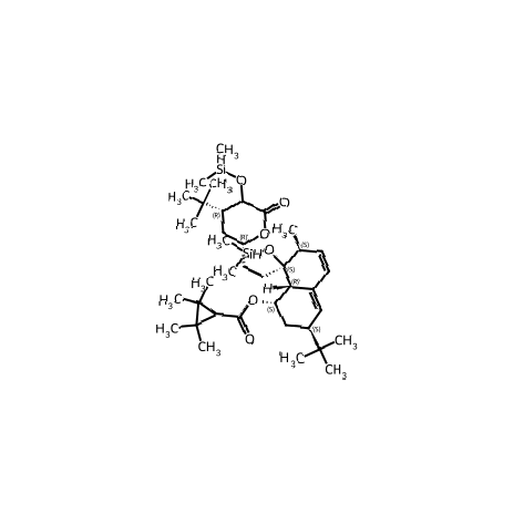 C[C@H]1C=CC2=C[C@@H](C(C)(C)C)C[C@H](OC(=O)C3C(C)(C)C3(C)C)[C@@H]2[C@@]1(CC[C@@H]1C[C@H](C(C)(C)C)C(O[SiH](C)C)C(=O)O1)O[SiH](C)C